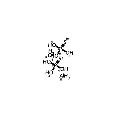 O.OP(O)(O)=S.OP(O)(O)=S.[AlH3]